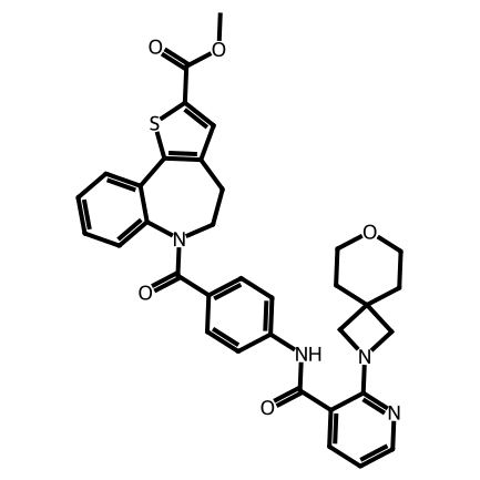 COC(=O)c1cc2c(s1)-c1ccccc1N(C(=O)c1ccc(NC(=O)c3cccnc3N3CC4(CCOCC4)C3)cc1)CC2